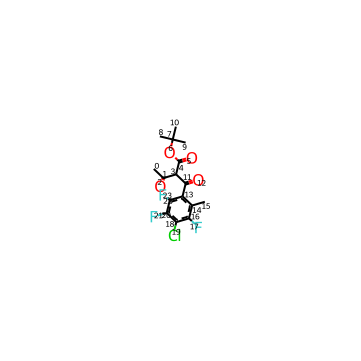 CC(=O)C(C(=O)OC(C)(C)C)C(=O)c1c(C)c(F)c(Cl)c(F)c1F